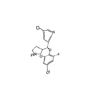 Fc1cc(Cl)cc(Cl)c1O[C@H](c1cncc(Cl)c1)C1CCNC1